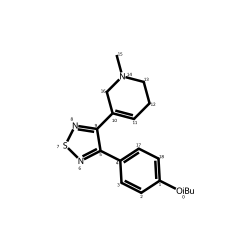 CC(C)COc1ccc(-c2nsnc2C2=CCCN(C)C2)cc1